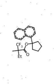 CCC(C)(C(=O)OC1(c2cccc3ccccc23)CCCC1)C(F)(F)F